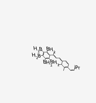 Bc1c(B)c(B)c(/C(C)=C/C=C2/C=CC(/C=C\C(C)C)=C(C)C2C)c(B)c1B